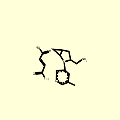 Cc1cncc(N2C(CN)CC3CC32)c1.O=C(O)C=CC(=O)O